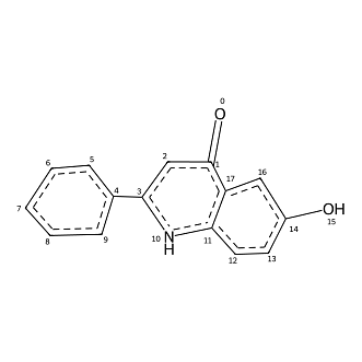 O=c1cc(-c2ccccc2)[nH]c2ccc(O)cc12